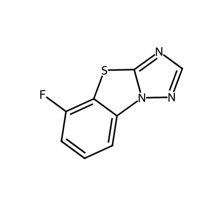 Fc1cccc2c1sc1ncnn12